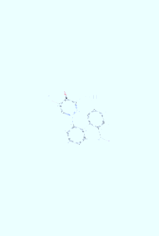 O=C(O)c1nn(-c2ccccc2-c2ccccc2CI)cc(O)c1=O